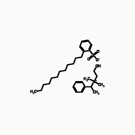 CC(c1ccccc1)[N+](C)(C)CCO.CCCCCCCCCCCCc1ccccc1S(=O)(=O)[O-]